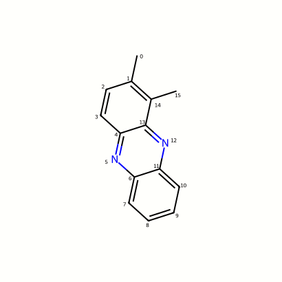 Cc1ccc2nc3ccccc3nc2c1C